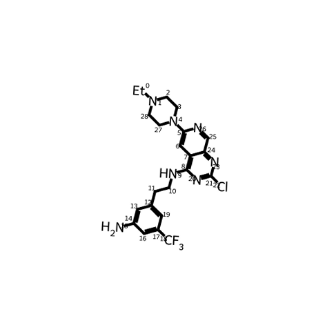 CCN1CCN(c2cc3c(NCCc4cc(N)cc(C(F)(F)F)c4)nc(Cl)nc3cn2)CC1